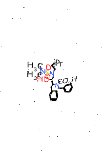 CC(C)CCN(CC(O)[C@H](Cc1ccccc1)N(Cc1ccccc1)C(=O)O)S(=O)(=O)N(C)C